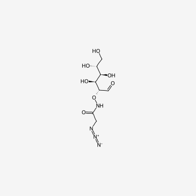 [N-]=[N+]=NCC(=O)NO[C@@H](C=O)[C@@H](O)[C@H](O)[C@H](O)CO